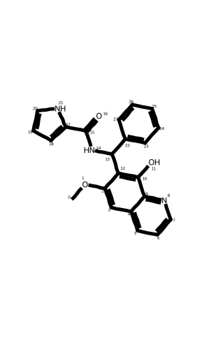 COc1cc2cccnc2c(O)c1C(NC(=O)c1ccc[nH]1)c1ccccc1